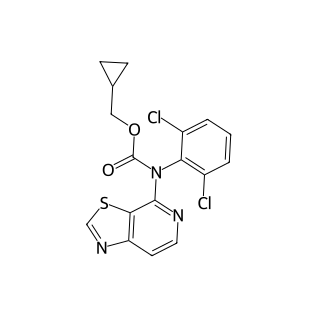 O=C(OCC1CC1)N(c1c(Cl)cccc1Cl)c1nccc2ncsc12